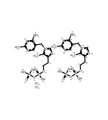 Cc1ncc(C[n+]2csc(CCOP(=O)(O)OP(=O)(O)O)c2C)c(N)n1.Cc1ncc(C[n+]2csc(CCOP(=O)(O)OP(=O)(O)O)c2C)c(N)n1.[Cl-].[Cl-]